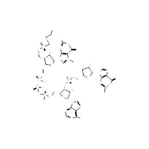 CO[C@@H]1[C@H](OP(=O)(O)OC[C@@H]2C[C@@H](O)[C@H](n3cnc4c(=O)[nH]c(N)nc43)O2)[C@@H](COP(=O)(O)OP(=O)(O)OP(=O)(O)OC[C@H]2O[C@@H](n3c[n+](C)c4c(=O)[nH]c(N)nc43)[C@H](O)[C@@H]2CNS(=O)(=O)CCCF)O[C@H]1n1cnc2c(N)ncnc21